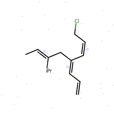 C=C/C=C(\C=C/CCl)C/C(=C/C)C(C)C